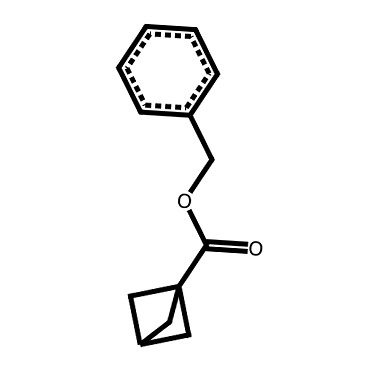 O=C(OCc1ccccc1)C12CC(C1)C2